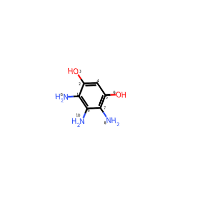 Nc1c(O)cc(O)c(N)c1N